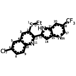 CCSc1cc2cc(Cl)ccc2nc1-c1cc2ncc(C(F)(F)F)cc2[nH]1